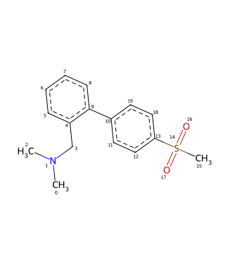 CN(C)Cc1ccccc1-c1ccc(S(C)(=O)=O)cc1